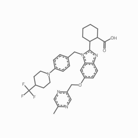 Cc1cnc(COc2ccc3nc(C4CCCCC4C(=O)O)n(Cc4ccc(N5CCC(C(F)(F)F)CC5)cc4)c3c2)cn1